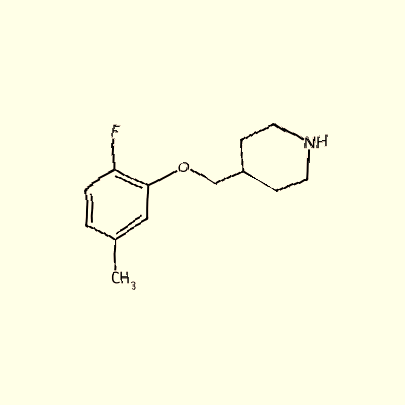 Cc1ccc(F)c(OCC2CCNCC2)c1